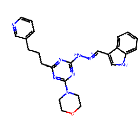 C(=N\Nc1nc(CCCc2cccnc2)nc(N2CCOCC2)n1)/c1c[nH]c2ccccc12